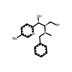 CC(C)C[C@H]([C@H](O)c1ccc(C(C)(C)C)cn1)N(C)Cc1ccccc1